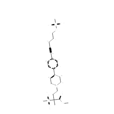 COC(=O)C(C)(CCN1CC=C(c2ccc(C#CCCCOS(C)(=O)=O)cc2)CC1)S(C)(=O)=O